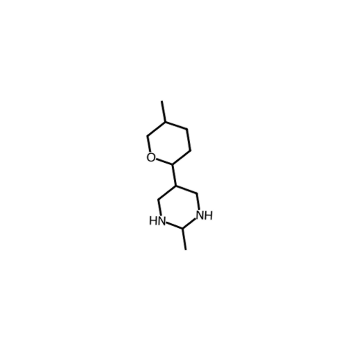 CC1CCC(C2CNC(C)NC2)OC1